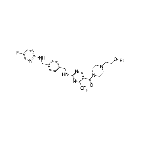 CCOCCN1CCN(C(=O)c2cnc(NCc3ccc(CNc4ncc(F)cn4)cc3)nc2C(F)(F)F)CC1